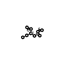 c1ccc(-c2ccc(-c3cc(-c4cccc(-n5c6ccccc6c6c7c(ccc65)sc5ccccc57)c4)nc(-c4cccc5c4oc4ccccc45)c3)cc2)cc1